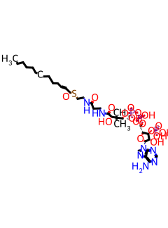 CCCCCCCCCCCC=CC(=O)SCCNC(=O)CCNC(=O)C(O)C(C)(C)COP(=O)(O)OP(=O)(O)OC[C@H]1O[C@@H](n2cnc3c(N)ncnc32)[C@H](O)[C@@H]1OP(=O)(O)O